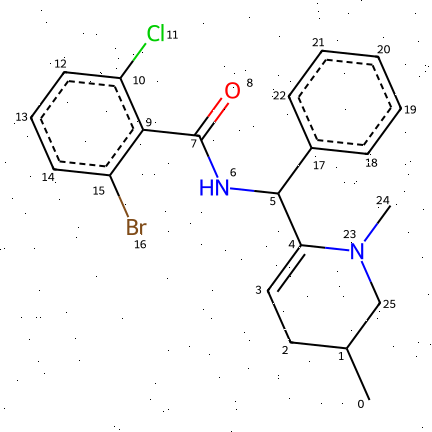 CC1CC=C(C(NC(=O)c2c(Cl)cccc2Br)c2ccccc2)N(C)C1